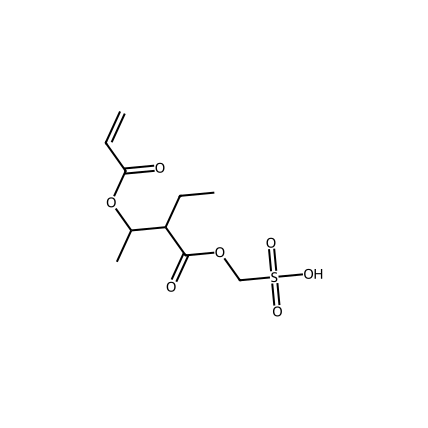 C=CC(=O)OC(C)C(CC)C(=O)OCS(=O)(=O)O